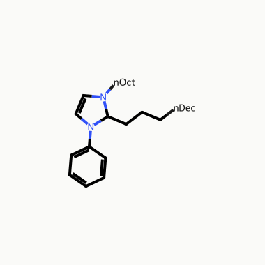 CCCCCCCCCCCCCC1N(CCCCCCCC)C=CN1c1ccccc1